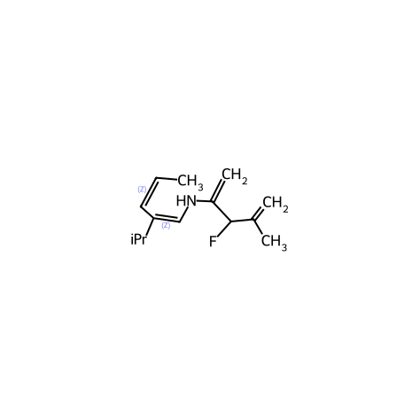 C=C(C)C(F)C(=C)N/C=C(\C=C/C)C(C)C